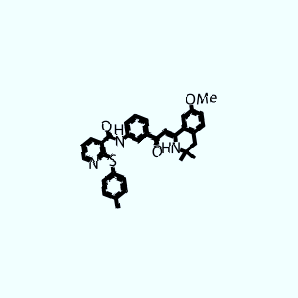 COc1ccc2c(c1)C(=CC(=O)c1cccc(NC(=O)c3cccnc3Sc3ccc(C)cc3)c1)NC(C)(C)C2